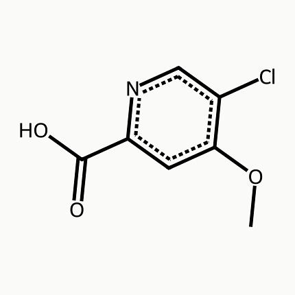 COc1cc(C(=O)O)ncc1Cl